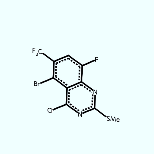 CSc1nc(Cl)c2c(Br)c(C(F)(F)F)cc(F)c2n1